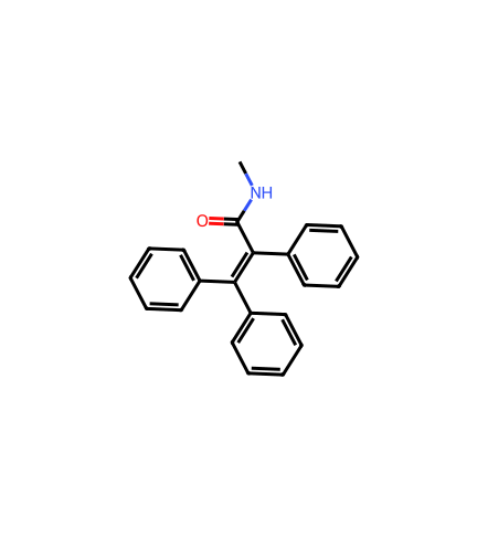 CNC(=O)C(=C(c1ccccc1)c1ccccc1)c1ccccc1